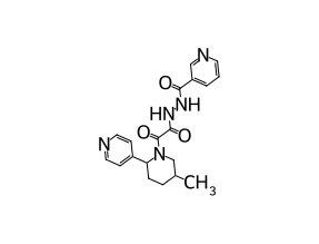 CC1CCC(c2ccncc2)N(C(=O)C(=O)NNC(=O)c2cccnc2)C1